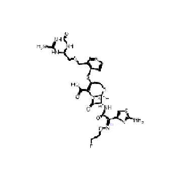 N=C(N)NC(CSCc1cnccc1SC1=C(C(=O)O)N2C(=O)[C@@H](NC(=O)/C(=N\OCCF)c3csc(N)n3)[C@@H]2SC1)NC=O